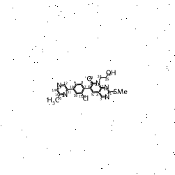 CSc1ncc2cc(-c3ccc(-c4cncc(C)n4)cc3Cl)c(=O)n(CCO)c2n1